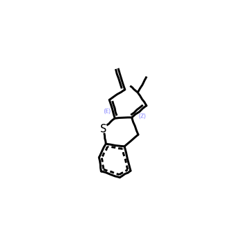 C=C/C=C1/Sc2ccccc2C/C1=C/C(C)C